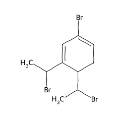 CC(Br)C1=CC(Br)=CCC1C(C)Br